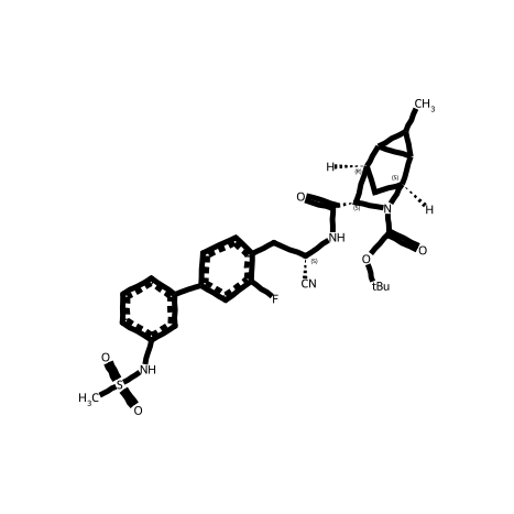 CC1C2C1[C@@H]1C[C@H]2[C@@H](C(=O)N[C@H](C#N)Cc2ccc(-c3cccc(NS(C)(=O)=O)c3)cc2F)N1C(=O)OC(C)(C)C